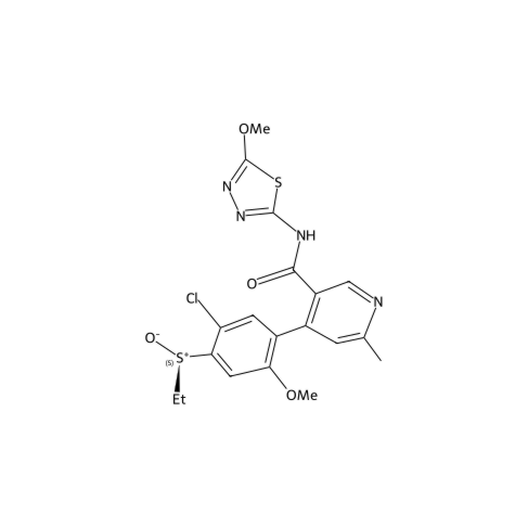 CC[S@@+]([O-])c1cc(OC)c(-c2cc(C)ncc2C(=O)Nc2nnc(OC)s2)cc1Cl